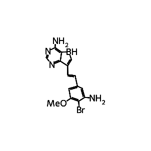 COc1cc(/C=C/C2=CBc3c(N)ncnc32)cc(N)c1Br